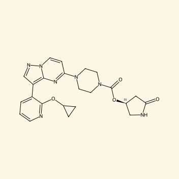 O=C1C[C@H](OC(=O)N2CCN(c3ccn4ncc(-c5cccnc5OC5CC5)c4n3)CC2)CN1